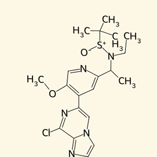 CCN(C(C)c1cc(-c2cn3ccnc3c(Cl)n2)c(OC)cn1)[S+]([O-])C(C)(C)C